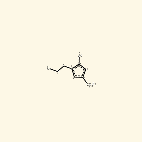 CCOC(=O)c1cc(C(C)=O)n(CCBr)c1